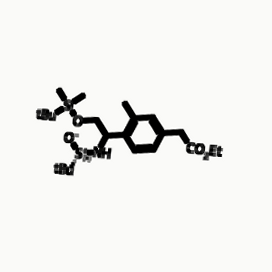 CCOC(=O)Cc1ccc(C(CO[Si](C)(C)C(C)(C)C)N[S@@+]([O-])C(C)(C)C)c(C)c1